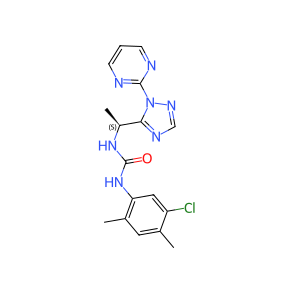 Cc1cc(C)c(NC(=O)N[C@@H](C)c2ncnn2-c2ncccn2)cc1Cl